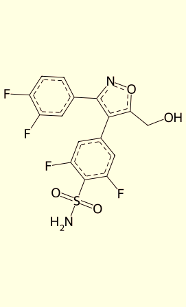 NS(=O)(=O)c1c(F)cc(-c2c(-c3ccc(F)c(F)c3)noc2CO)cc1F